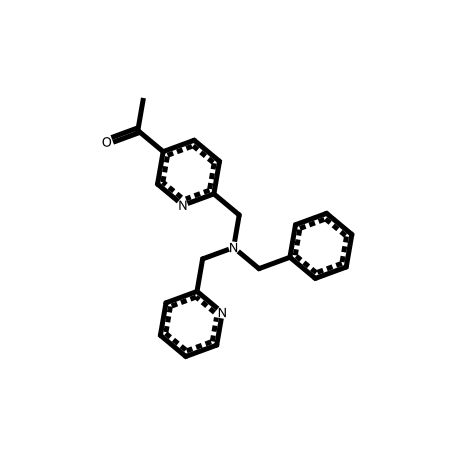 CC(=O)c1ccc(CN(Cc2ccccc2)Cc2ccccn2)nc1